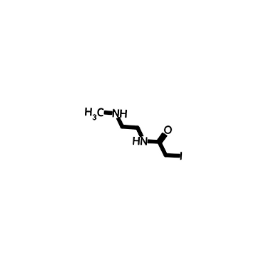 CNCCNC(=O)CI